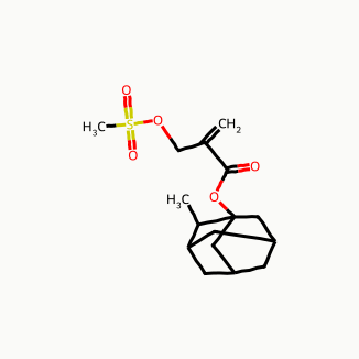 C=C(COS(C)(=O)=O)C(=O)OC12CC3CC(CC(C3)C1C)C2